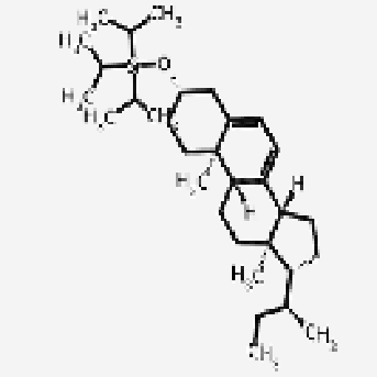 CC[C@H](C)[C@H]1CC[C@H]2C3=CC=C4C[C@@H](O[Si](C(C)C)(C(C)C)C(C)C)CC[C@]4(C)[C@H]3CC[C@]12C